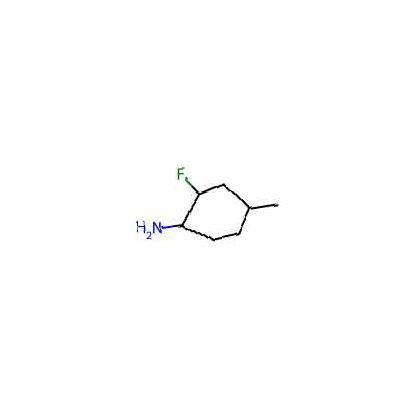 CC1CCC(N)C(F)C1